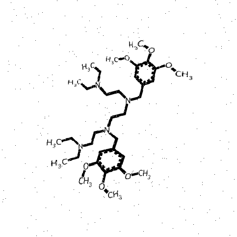 CCN(CC)CCN(CCN(CCN(CC)CC)Cc1cc(OC)c(OC)c(OC)c1)Cc1cc(OC)c(OC)c(OC)c1